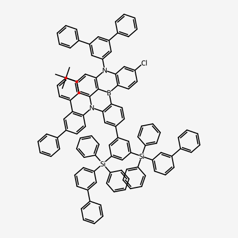 CC(C)(C)c1cc2c3c(c1)N(c1ccc(-c4ccccc4)cc1-c1ccccc1)c1cc(-c4cc([Si](c5ccccc5)(c5ccccc5)c5cccc(-c6ccccc6)c5)cc([Si](c5ccccc5)(c5ccccc5)c5cccc(-c6ccccc6)c5)c4)ccc1B3c1ccc(Cl)cc1N2c1cc(-c2ccccc2)cc(-c2ccccc2)c1